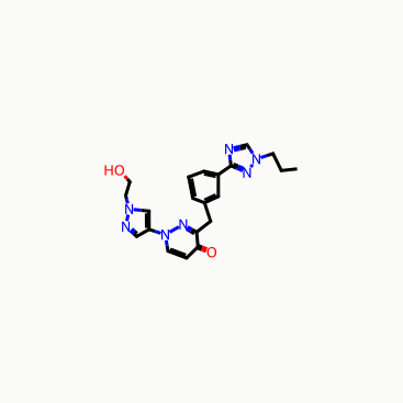 CCCn1cnc(-c2cccc(Cc3nn(-c4cnn(CCO)c4)ccc3=O)c2)n1